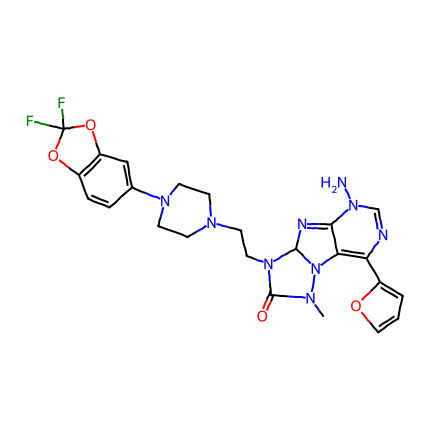 CN1C(=O)N(CCN2CCN(c3ccc4c(c3)OC(F)(F)O4)CC2)C2N=C3C(=C(c4ccco4)N=CN3N)N21